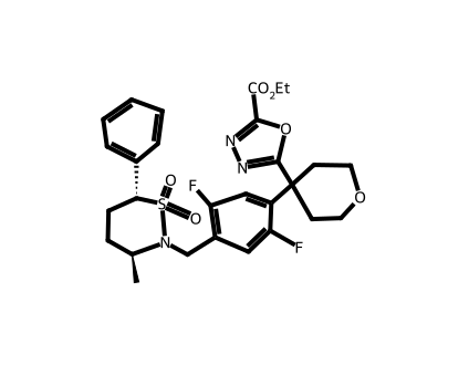 CCOC(=O)c1nnc(C2(c3cc(F)c(CN4[C@@H](C)CC[C@H](c5ccccc5)S4(=O)=O)cc3F)CCOCC2)o1